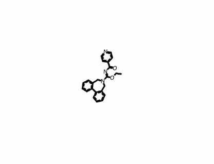 CCO/C(=N\C(=O)c1ccncc1)N1Cc2ccccc2-c2ccccc2C1